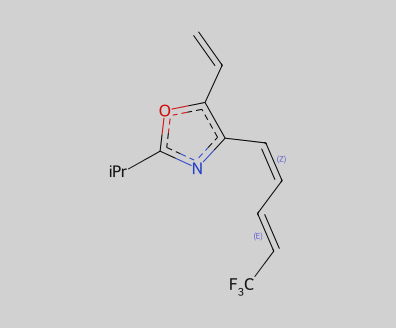 C=Cc1oc(C(C)C)nc1/C=C\C=C\C(F)(F)F